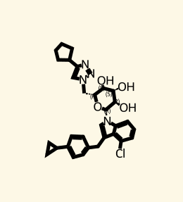 O[C@@H]1[C@@H](O)[C@H](n2cc(Cc3ccc(C4CC4)cc3)c3c(Cl)cccc32)O[C@H](Cn2cc(C3CCCC3)nn2)[C@H]1O